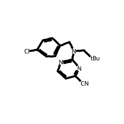 CC(C)(C)CN(Cc1ccc(Cl)cc1)c1nccc(C#N)n1